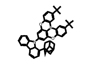 CC(C)(C)c1ccc2c(c1)B1c3cc(C(C)(C)C)ccc3Oc3cc(N4c5ccccc5C5C=CC=C(C67CC8CC9(CC(C6)C89)C7)C54)cc(c31)O2